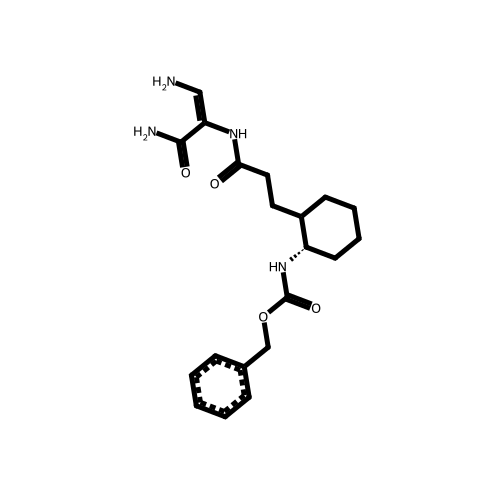 NC=C(NC(=O)CCC1CCCC[C@@H]1NC(=O)OCc1ccccc1)C(N)=O